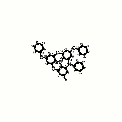 Cc1cc2c3c(c1)N(c1ccccc1)c1cc(Oc4ccccc4)cc4c1B3c1c(cc(Oc3ccccc3)cc1O4)O2